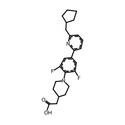 O=C(O)CC1CCN(c2c(F)cc(-c3cccc(CC4CCCC4)n3)cc2F)CC1